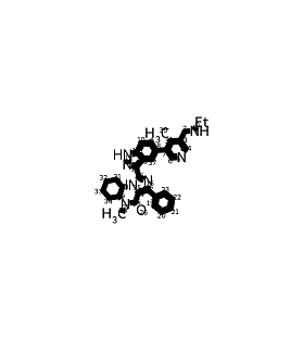 CCNCc1cncc(-c2ccc3[nH]nc(-c4nc(-c5ccccc5)c(C(=O)N(C)C5CCCCC5)[nH]4)c3c2)c1C